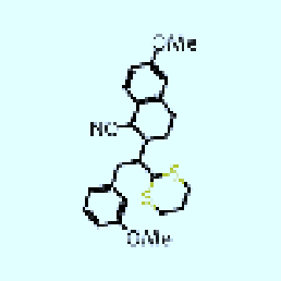 COc1cccc(CC(C2SCCCS2)C2CCc3cc(OC)ccc3C2C#N)c1